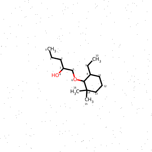 CCCC(O)COC1C(CC)CCCC1(C)C